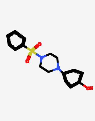 O=S(=O)(c1ccccc1)N1CCN(c2ccc(O)cc2)CC1